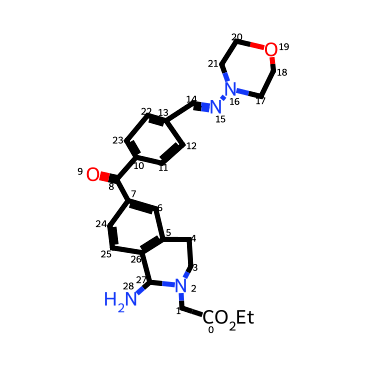 CCOC(=O)CN1CCc2cc(C(=O)c3ccc(C=NN4CCOCC4)cc3)ccc2C1N